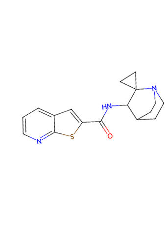 O=C(NC1C2CCN(CC2)C12CC2)c1cc2cccnc2s1